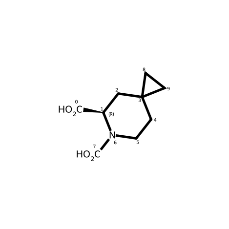 O=C(O)[C@H]1CC2(CCN1C(=O)O)CC2